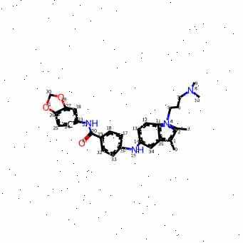 Cc1c(C)n(CCCN(C)C)c2ccc(Nc3ccc(C(=O)Nc4ccc5c(c4)OCO5)cc3)cc12